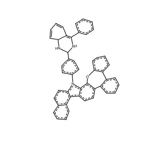 C1=CC2=C(c3ccccc3)NC(c3ccc(-n4c5ccc6ccccc6c5c5ccc6c(c54)Oc4ccccc4-c4ccccc4-6)cc3)NC2C=C1